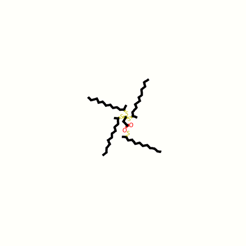 CCCCCCCCCCC(C)SOC(=O)CC(SC(C)CCCCCCCCCC)(SC(C)CCCCCCCCCC)SC(C)CCCCCCCCCC